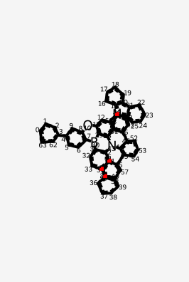 c1ccc(-c2ccc3c(c2)Oc2cc(-n4c5ccccc5c5ccccc54)cc4c2B3c2ccc(-c3ccccc3)cc2N4c2c(-c3ccccc3)cccc2-c2ccccc2)cc1